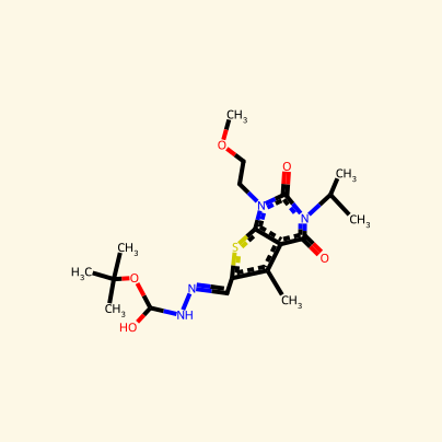 COCCn1c(=O)n(C(C)C)c(=O)c2c(C)c(/C=N/NC(O)OC(C)(C)C)sc21